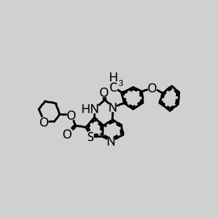 Cc1cc(Oc2ccccc2)ccc1N1C(=O)Nc2c(C(=O)OC3CCCOC3)sc3nccc1c23